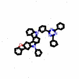 c1ccc(-c2nc(-c3ccccc3)nc(-c3cccc(-n4c5ccccc5c5c6c7cc8oc9ccccc9c8cc7n(-c7ccccc7)c6ccc54)c3)n2)cc1